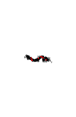 CCC(c1cccc(-c2nc(C(C)(C)C)sc2-c2ccnc(NC3CC4(C3)CN(C(=O)C3(F)CCN(CC5CCN(c6ccc(C7CCC(=O)NC7=O)cc6)CC5)CC3)C4)n2)c1F)S(N)(=O)=O